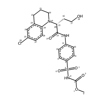 COC(=O)NS(=O)(=O)c1ccc(NC(=O)[C@@H](CCO)N2CCCc3cc(Cl)ccc32)cc1